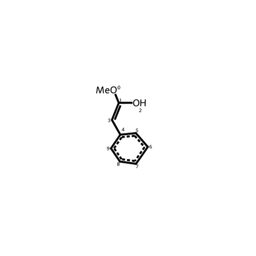 COC(O)=Cc1ccccc1